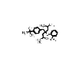 Cc1ccccc1OC(Cc1ccc(C(C)(C)N)cc1)(CC(C)C)CC(C)C.Cl